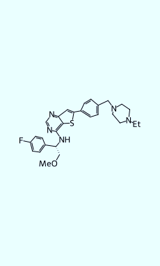 CCN1CCN(Cc2ccc(-c3cc4ncnc(N[C@H](COC)c5ccc(F)cc5)c4s3)cc2)CC1